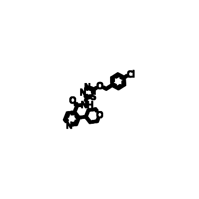 O=C(Nc1nnc(OCc2ccc(Cl)cc2)s1)c1ccncc1C1CCOCC1